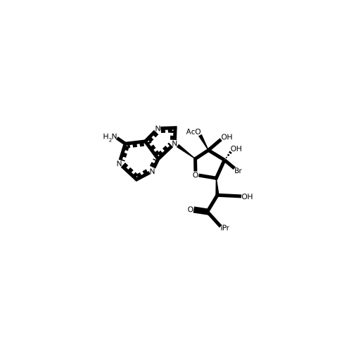 CC(=O)O[C@]1(O)[C@H](n2cnc3c(N)ncnc32)O[C@H](C(O)C(=O)C(C)C)[C@]1(O)Br